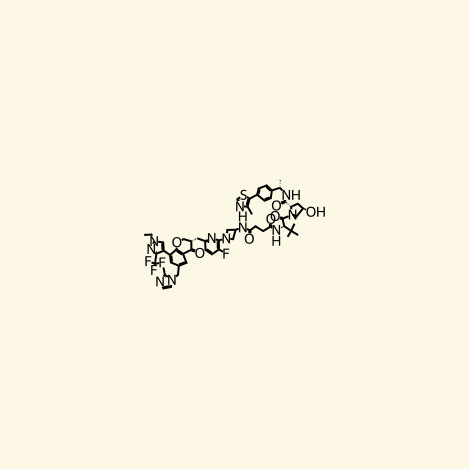 CCn1cc(-c2cc(Cn3ccnc3C)cc3c2OC[C@H](Cc2ccc(F)c(N4CC(NC(=O)CCC(=O)N[C@H](C(=O)N5C[C@H](O)C[C@H]5C(=O)N[C@@H](C)c5ccc(-c6scnc6C)cc5)C(C)(C)C)C4)n2)C3=O)c(C(F)(F)F)n1